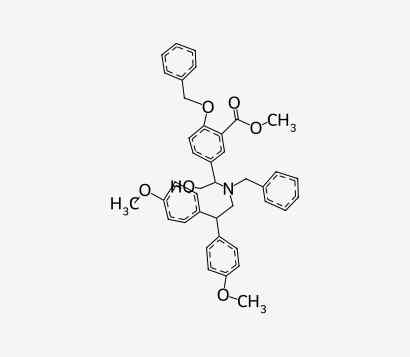 COC(=O)c1cc(C(CO)N(Cc2ccccc2)CC(c2ccc(OC)cc2)c2ccc(OC)cc2)ccc1OCc1ccccc1